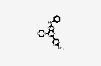 Nc1ncc(-c2nc(N3CCOCC3)c3nc(Nc4ccccc4)sc3n2)cn1